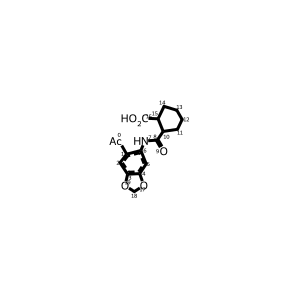 CC(=O)c1cc2c(cc1NC(=O)C1CCCCC1C(=O)O)OCO2